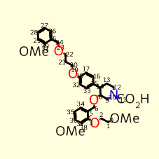 COCCOc1c(COC2CN(C(=O)O)CCC2c2ccc(OCCCOCc3ccccc3OC)cc2)cccc1OC